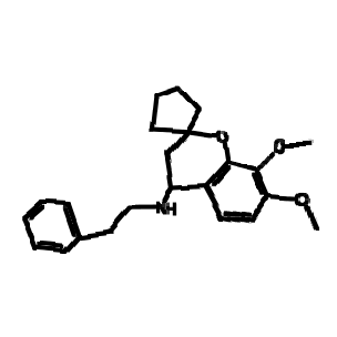 COc1ccc2c(c1OC)OC1(CCCC1)CC2NCCc1ccccc1